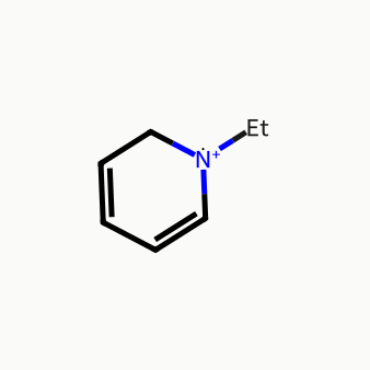 CC[N+]1C=CC=CC1